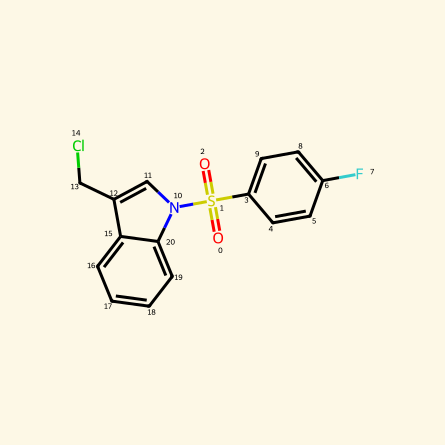 O=S(=O)(c1ccc(F)cc1)n1cc(CCl)c2ccccc21